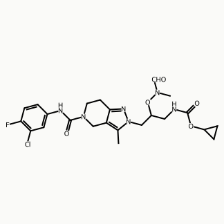 Cc1c2c(nn1CC(CNC(=O)OC1CC1)ON(C)C=O)CCN(C(=O)Nc1ccc(F)c(Cl)c1)C2